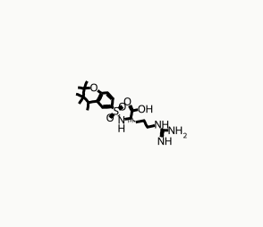 CC1c2cc(S(=O)(=O)N[C@@H](CCCNC(=N)N)C(=O)O)ccc2OC(C)(C)C1(C)C